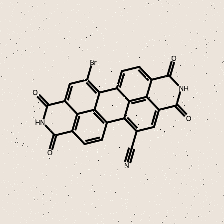 N#Cc1cc2c3c(ccc4c5c(Br)cc6c7c(ccc(c1c34)c75)C(=O)NC6=O)C(=O)NC2=O